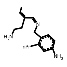 C/C=C(\C=N/Cc1ccc(N)cc1CCC)CCN